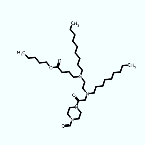 CCCCCCCCCN(CCCC(=O)OCCCCC)CCN(CCCCCCCCC)CC(=O)N1CCN(C=O)CC1